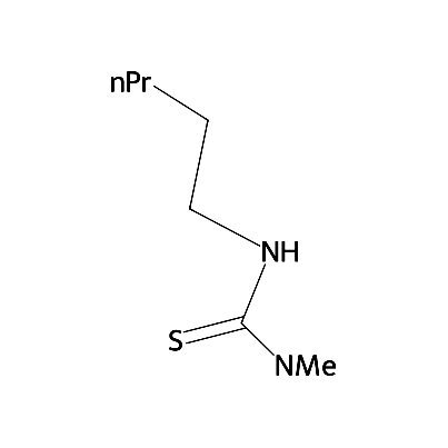 [CH2]CCCCNC(=S)NC